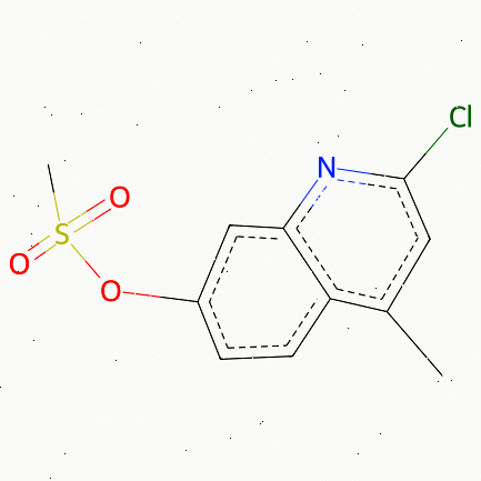 Cc1cc(Cl)nc2cc(OS(C)(=O)=O)ccc12